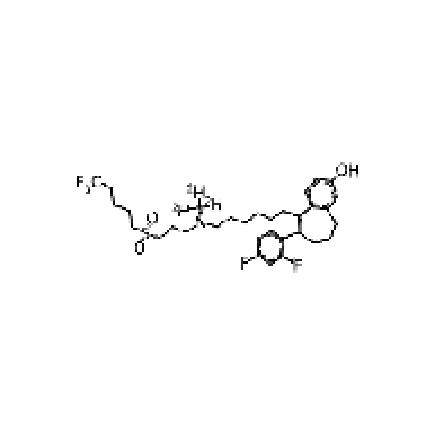 [2H]C([2H])([2H])N(CCCCCCC1=C(c2ccc(F)cc2F)CCCc2cc(O)ccc21)CCCS(=O)(=O)CCCCC(F)(F)F